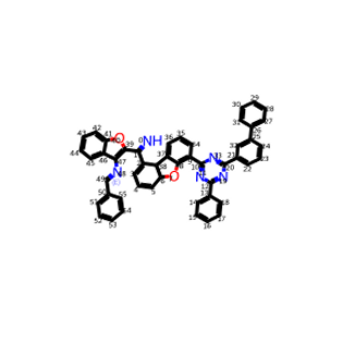 N=C(C1=CC=CC2Oc3c(-c4nc(-c5ccccc5)nc(-c5cccc(-c6ccccc6)c5)n4)cccc3C12)c1oc2ccccc2c1/N=C/c1ccccc1